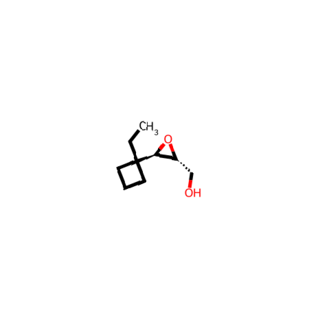 CCC1([C@H]2O[C@@H]2CO)CCC1